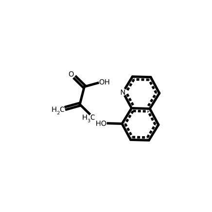 C=C(C)C(=O)O.Oc1cccc2cccnc12